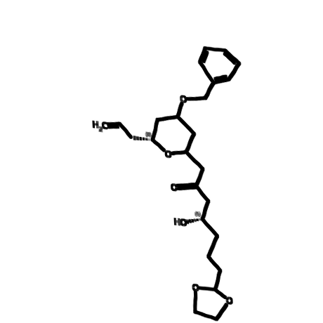 C=CC[C@@H]1CC(OCc2ccccc2)CC(CC(=O)C[C@@H](O)CCCC2OCCO2)O1